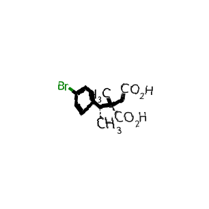 C[C@H](c1ccc(Br)cc1)[C@@](C)(CC(=O)O)C(=O)O